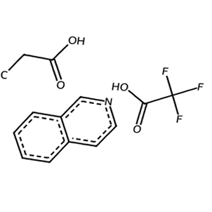 CCC(=O)O.O=C(O)C(F)(F)F.c1ccc2cnccc2c1